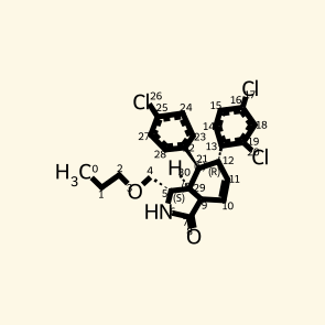 CCCOC[C@H]1NC(=O)C2C=C[C@@H](c3ccc(Cl)cc3Cl)[C@H](c3ccc(Cl)cc3)[C@@H]21